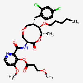 CCCCCO[C@@H]1[C@@H](Cc2ccc(Cl)cc2Cl)COC[C@H](NC(=O)c2nccc(OC)c2OC(=O)CCOC)C(=O)O[C@H]1C